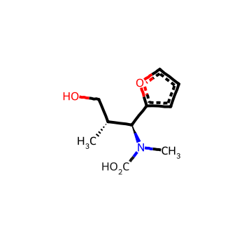 C[C@H](CO)[C@@H](c1ccco1)N(C)C(=O)O